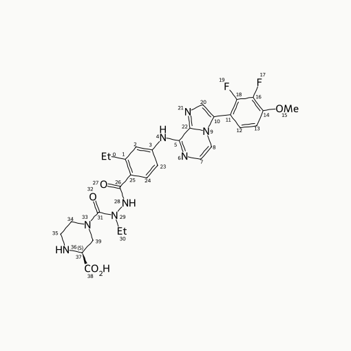 CCc1cc(Nc2nccn3c(-c4ccc(OC)c(F)c4F)cnc23)ccc1C(=O)NN(CC)C(=O)N1CCN[C@H](C(=O)O)C1